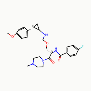 COc1ccc([C@@H]2CC2NCOC[C@H](NC(=O)c2ccc(F)cc2)C(=O)N2CCN(C)CC2)cc1